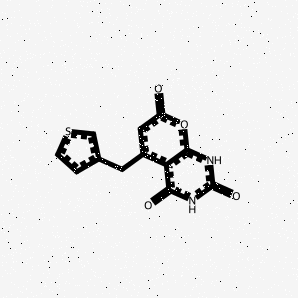 O=c1[nH]c(=O)c2c(Cc3ccsc3)cc(=O)oc2[nH]1